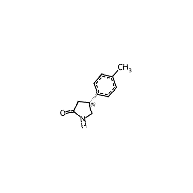 Cc1ccc([C@@H]2CNC(=O)C2)cc1